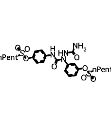 CCCCCS(=O)(=O)Oc1ccc(NC(=O)N(NC(N)=O)c2cccc(OS(=O)(=O)CCCCC)c2)cc1